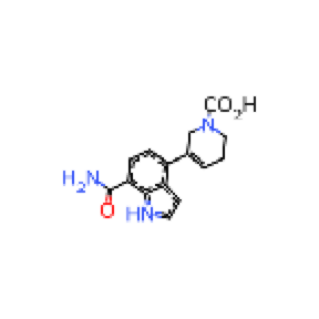 NC(=O)c1ccc(C2=CCCN(C(=O)O)C2)c2cc[nH]c12